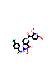 COc1ccc(C(=O)N2CCc3nc(N[C@@H](C)c4ccc(C(F)(F)F)cc4)n(OC)c(=O)c3C2)c(OC)n1